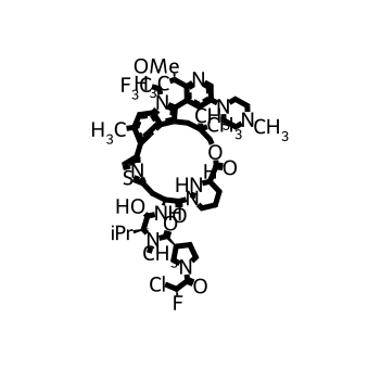 CO[C@@H](C)c1ncc(N2CCN(C)CC2)cc1-c1c2c3cc(c(C)cc3n1CC(F)(F)F)-c1csc(n1)C[C@H](NC(O)[C@H](C(C)C)N(C)C(=O)[C@H]1CCN(C(=O)[C@H](F)Cl)C1)C(=O)N1CCC[C@H](N1)C(=O)OCC(C)(C)C2